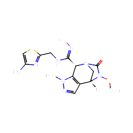 Cn1ncc2c1[C@@H](/C(=N/O)NCc1nc(N)cs1)N1C[C@@H]2N(OS(=O)(=O)O)C1=O